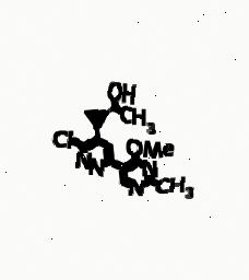 COc1nc(C)ncc1-c1cc([C@H]2C[C@@H]2C(C)O)c(Cl)nn1